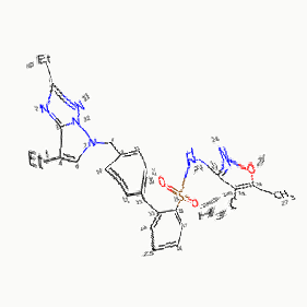 CCc1nc2c(CC)cn(Cc3ccc(-c4ccccc4S(=O)(=O)Nc4noc(C)c4C)cc3)n2n1